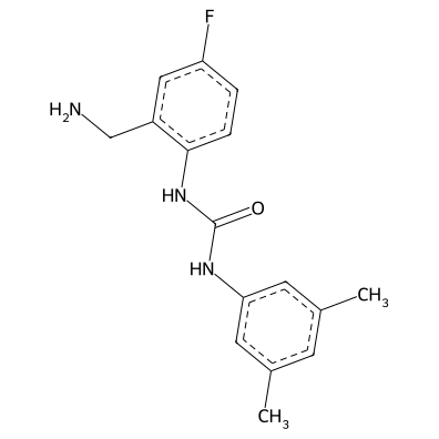 Cc1cc(C)cc(NC(=O)Nc2ccc(F)cc2CN)c1